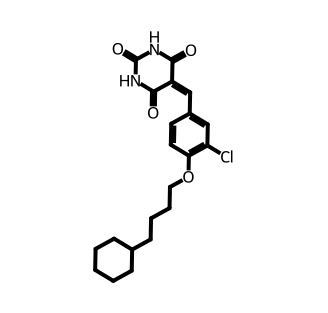 O=C1NC(=O)C(=Cc2ccc(OCCCCC3CCCCC3)c(Cl)c2)C(=O)N1